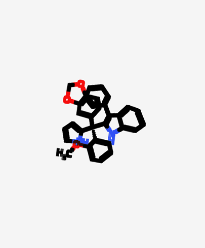 COc1ccccc1[C@@](c1ccc2c(c1)OCO2)(c1ccc[nH]1)c1[nH]c2ccccc2c1-c1ccccc1